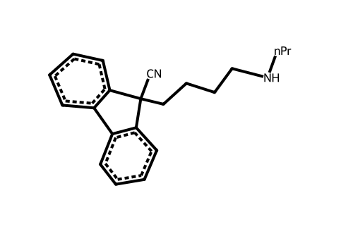 CCCNCCCCC1(C#N)c2ccccc2-c2ccccc21